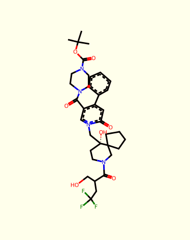 CC(C)(C)OC(=O)N1CCN(C(=O)c2cn(C[C@]3(O)CCN(C(=O)C(CO)CC(F)(F)F)CC34CCCC4)c(=O)cc2-c2ccccc2)CC1